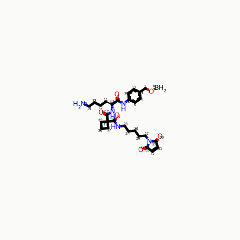 BOCc1ccc(NC(=O)[C@H](CCCCN)NC(=O)C2(C(=O)NCCCCCN3C(=O)C=CC3=O)CCC2)cc1